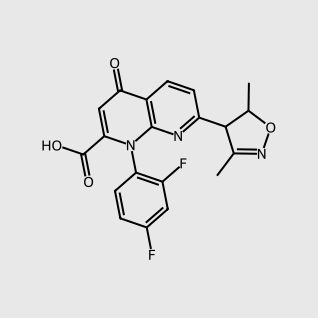 CC1=NOC(C)C1c1ccc2c(=O)cc(C(=O)O)n(-c3ccc(F)cc3F)c2n1